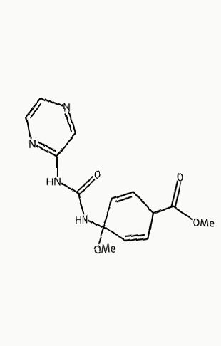 COC(=O)C1C=CC(NC(=O)Nc2cnccn2)(OC)C=C1